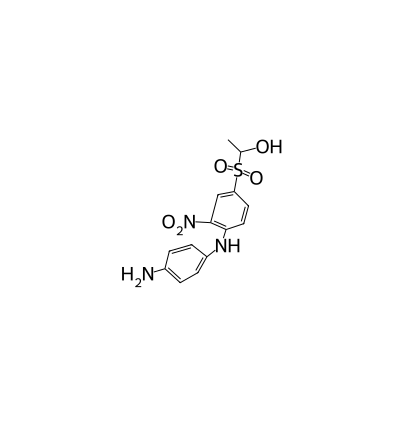 CC(O)S(=O)(=O)c1ccc(Nc2ccc(N)cc2)c([N+](=O)[O-])c1